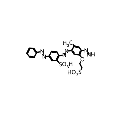 Cc1cc(N=N)c(OCCS(=O)(=O)O)cc1N=Nc1ccc(N=Nc2ccccc2)cc1S(=O)(=O)O